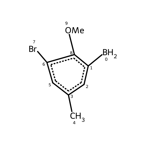 Bc1cc(C)cc(Br)c1OC